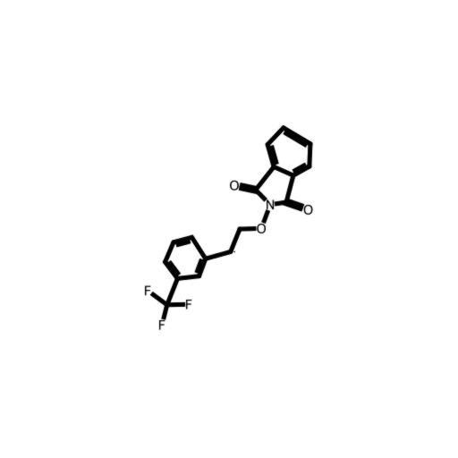 O=C1c2ccccc2C(=O)N1OC[CH]c1cccc(C(F)(F)F)c1